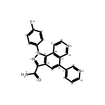 NC(=O)c1nn(-c2ccc(F)cc2)c2c1cc(-c1cccnc1)c1cnccc12